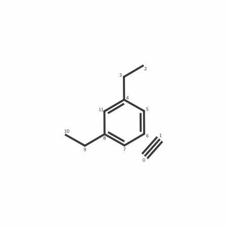 C#C.CCc1cccc(CC)c1